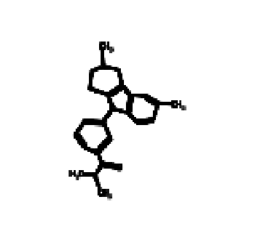 Cc1ccc2c(c1)c1c(n2-c2cccc(C(=O)N(C)C)c2)CCN(C)C1